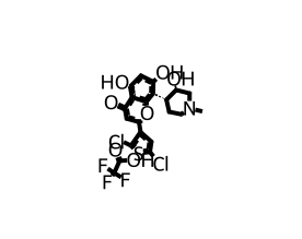 CN1CC[C@H](c2c(O)cc(O)c3c(=O)cc(-c4cc(Cl)sc4Cl)oc23)[C@H](O)C1.O=C(O)C(F)(F)F